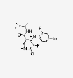 CC(NC(=O)c1c[nH]c(=O)c(F)c1Nc1ccc(Br)cc1F)C1CC1